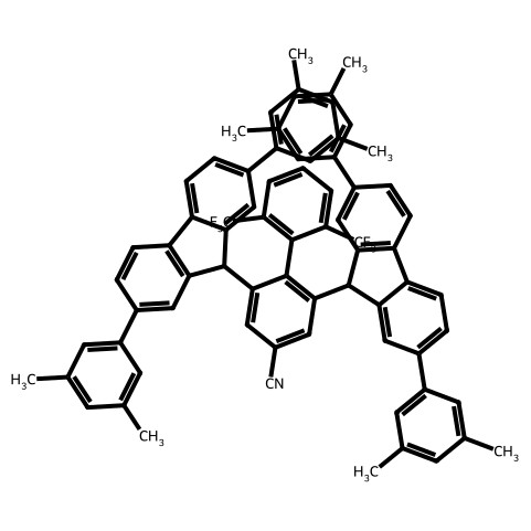 Cc1cc(C)cc(-c2ccc3c(c2)C(c2cc(C#N)cc(C4c5cc(-c6cc(C)cc(C)c6)ccc5-c5ccc(-c6cc(C)cc(C)c6)cc54)c2-c2c(C(F)(F)F)cccc2C(F)(F)F)c2cc(-c4cc(C)cc(C)c4)ccc2-3)c1